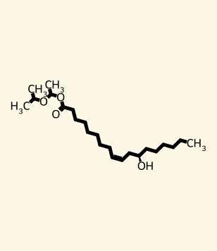 CCCCCC[C@@H](O)C/C=C\CCCCCCCC(=O)OC(C)OC(C)C